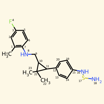 Cc1cc(F)ccc1NCC1C(c2ccc(NSN)cc2)C1(C)C